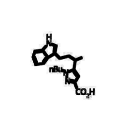 CCCCn1nc(C(=O)O)cc1C(C)CCc1c[nH]c2ccccc12